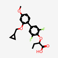 CCC(Oc1c(F)cc(-c2ccc(OC)cc2OCC2CC2)cc1F)C(=O)O